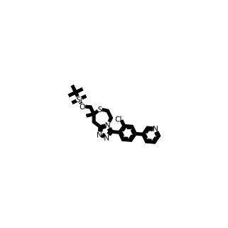 CC1(CO[Si](C)(C)C(C)(C)C)Cc2nnc(-c3ccc(-c4cccnc4)cc3Cl)n2CCS1